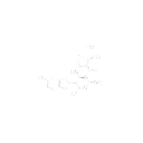 Nc1nc(Cl)c(-c2cc3cc(Cl)ccc3o2)c(N[C@@H]2C[C@H](CO)[C@@H](O)[C@H]2O)n1